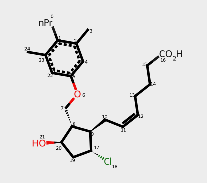 CCCc1c(C)cc(OC[C@@H]2[C@@H](C/C=C\CCCC(=O)O)[C@H](Cl)C[C@H]2O)cc1C